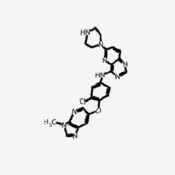 Cn1cnc2cc(Oc3ccc(Nc4ncnc5ccc(N6CCNCC6)nc45)cc3Cl)cnc21